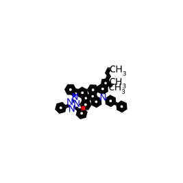 C/C=C\C=C1/Cc2ccc(N(c3ccc(-c4ccccc4)cc3)c3cccc4c3-c3ccccc3C43c4ccccc4-c4c3ccc3c5ccccc5n(-c5nc(-c6ccccc6)nc(-c6ccccc6)n5)c43)cc2C1(C)C